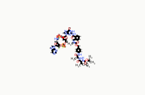 CC(C)[C@H](NC(=O)OC(C)(C)C)C(=O)N[C@@H](C)C(=O)Nc1ccc(COC(=O)N(C)Cc2ccccc2C(=O)Nc2nc3c(ncn3[C@@H]3O[C@@H]4CO[P@@](=O)(S)O[C@H]5[C@@H](F)[C@H](n6cnc7cncnc76)O[C@@H]5CNS(=O)(=O)O[C@@H]3C4)c(=O)[nH]2)cc1